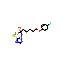 CC(C)(C)C(O)(CCCCCOc1ccc(F)cc1)Cn1ncnc1S